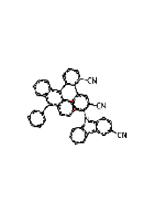 N#Cc1ccc2c(c1)c1ccccc1n2-c1ccc(-c2c(C#N)cccc2-c2c3ccccc3c(-c3ccccc3)c3ccccc23)cc1C#N